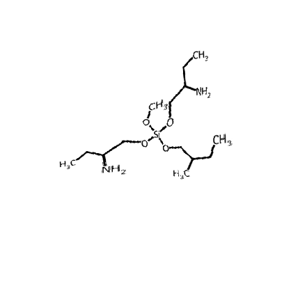 CCC(C)CO[Si](OC)(OCC(N)CC)OCC(N)CC